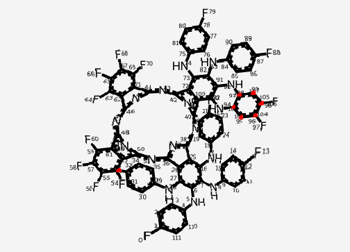 Fc1ccc(Nc2c(Nc3ccc(F)cc3)c(Nc3ccc(F)cc3)c3c(c2Nc2ccc(F)cc2)-c2nc-3nc3[nH]c(nc4nc(nc5[nH]c(n2)c2c(F)c(F)c(F)c(F)c52)-c2c(F)c(F)c(F)c(F)c2-4)c2c(Nc4ccc(F)cc4)c(Nc4ccc(F)cc4)c(Nc4ccc(F)cc4)c(Nc4ccc(F)cc4)c32)cc1